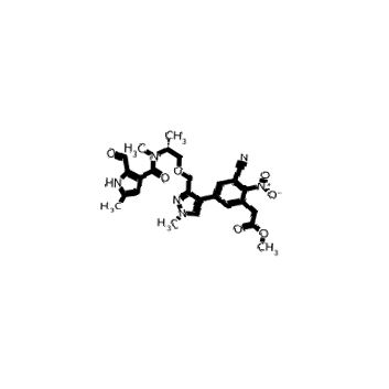 COC(=O)Cc1cc(-c2cn(C)nc2COC[C@@H](C)N(C)C(=O)c2cc(C)[nH]c2C=O)cc(C#N)c1[N+](=O)[O-]